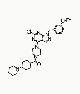 CCOc1cccc(Cn2ncc3c(N4CCN(C(=O)C5CCC(N6CCCCC6)CC5)CC4)nc(Cl)nc32)c1